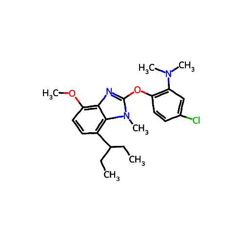 CCC(CC)c1ccc(OC)c2nc(Oc3ccc(Cl)cc3N(C)C)n(C)c12